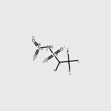 CC(C(C)(F)F)S(=O)(=O)N[SH](=O)=O